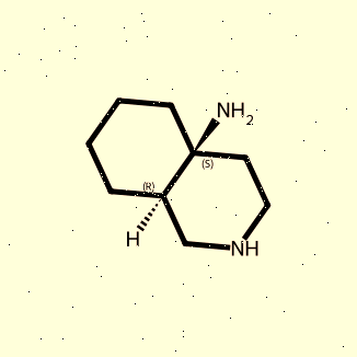 N[C@]12CCCC[C@@H]1CNCC2